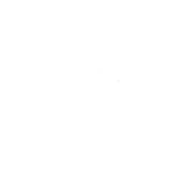 CCCB1OCCO1